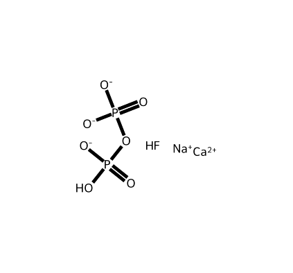 F.O=P([O-])([O-])OP(=O)([O-])O.[Ca+2].[Na+]